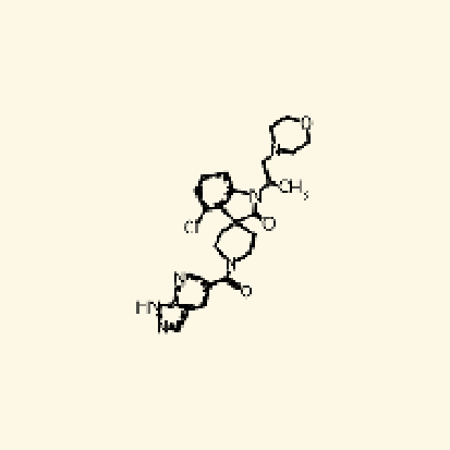 CC(CN1CCOCC1)N1C(=O)C2(CCN(C(=O)c3cnc4[nH]ncc4c3)CC2)c2c(Cl)cccc21